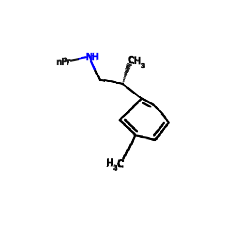 CCCNC[C@H](C)c1cccc(C)c1